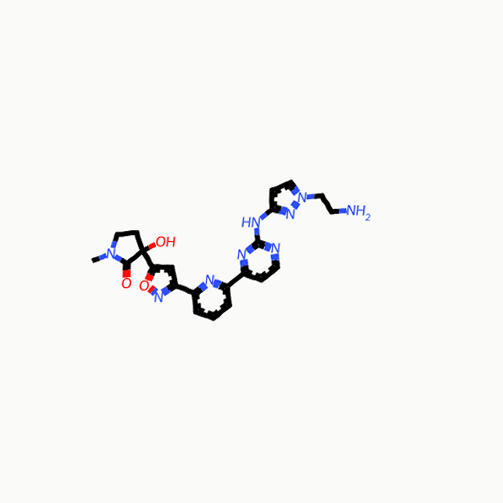 CN1CCC(O)(c2cc(-c3cccc(-c4ccnc(Nc5ccn(CCN)n5)n4)n3)no2)C1=O